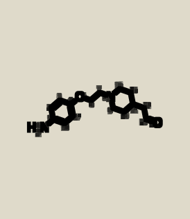 Nc1ccc(OCCN2CCC(CC=O)CC2)cc1